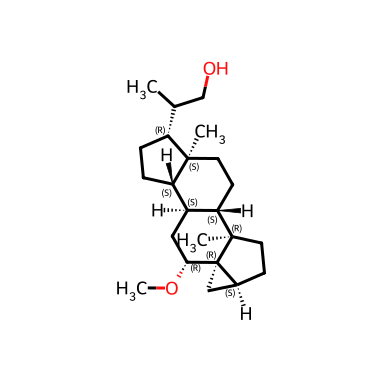 CO[C@@H]1C[C@H]2[C@@H]3CC[C@H](C(C)CO)[C@@]3(C)CC[C@@H]2[C@@]2(C)CC[C@H]3C[C@]312